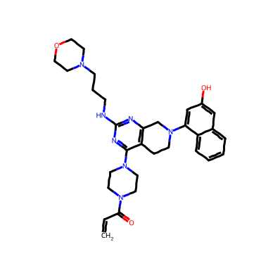 C=CC(=O)N1CCN(c2nc(NCCCN3CCOCC3)nc3c2CCN(c2cc(O)cc4ccccc24)C3)CC1